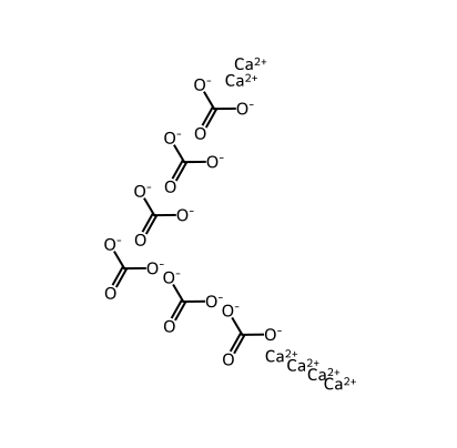 O=C([O-])[O-].O=C([O-])[O-].O=C([O-])[O-].O=C([O-])[O-].O=C([O-])[O-].O=C([O-])[O-].[Ca+2].[Ca+2].[Ca+2].[Ca+2].[Ca+2].[Ca+2]